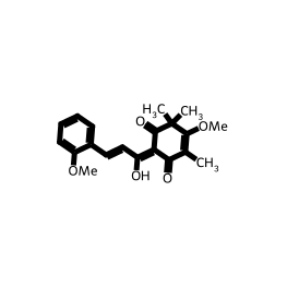 COC1=C(C)C(=O)/C(=C(O)/C=C/c2ccccc2OC)C(=O)C1(C)C